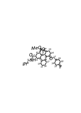 COC(=O)c1cc(C(=O)NCC(C)C)cc(-c2ccccc2-c2cc(C(F)(F)F)ccc2OCc2ccc(F)cc2)c1